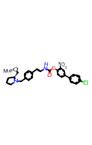 COC[C@@H]1CCCN1Cc1ccc(CCNC(=O)Oc2ccc(-c3ccc(Cl)cc3)cc2[N+](=O)[O-])cc1